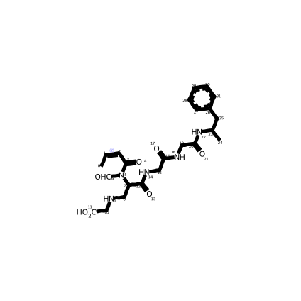 C/C=C\C(=O)N(C=O)C(CNCC(=O)O)C(=O)NCC(=O)NCC(=O)NC(C)Cc1ccccc1